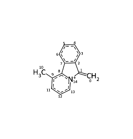 C=C1c2ccccc2-c2c(C)ccc[n+]21